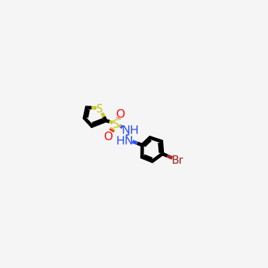 O=S(=O)(NNc1ccc(Br)cc1)c1cccs1